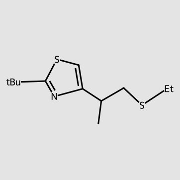 CCSCC(C)c1csc(C(C)(C)C)n1